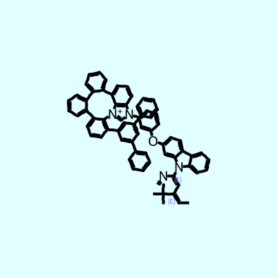 C=N/C(=C\C(=C/C)C(C)(C)C)n1c2ccccc2c2ccc(Oc3cccc(-n4c[n+]5c6c(cccc64)-c4ccccc4-c4ccccc4-c4cccc(-c6cc(-c7ccccc7)cc(-c7ccccc7)c6)c4-5)c3)cc21